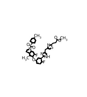 COC(=O)CCc1nc(Cc2c[nH]c(-c3cc(Oc4c(F)cc5c(ccn5S(=O)(=O)c5ccc(C)cc5)c4C)ccc3F)n2)cs1